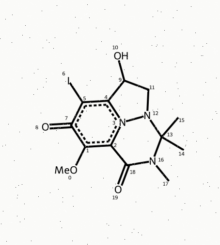 COc1c2n3c(c(I)c1=O)C(O)CN3C(C)(C)N(C)C2=O